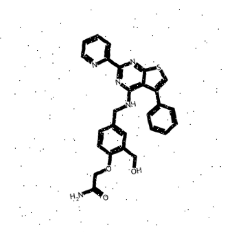 NC(=O)COc1ccc(CNc2nc(-c3ccccn3)nc3scc(-c4ccccc4)c23)cc1CO